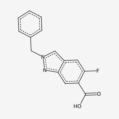 O=C(O)c1cc2nn(Cc3ccccc3)cc2cc1F